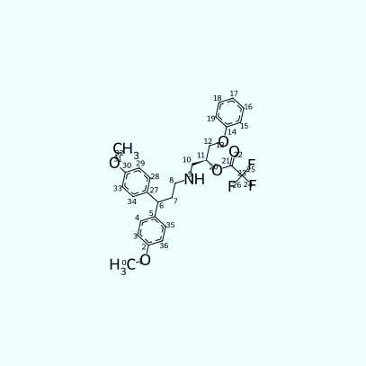 COc1ccc(C(CCNC[C@@H](COc2ccccc2)OC(=O)C(F)(F)F)c2ccc(OC)cc2)cc1